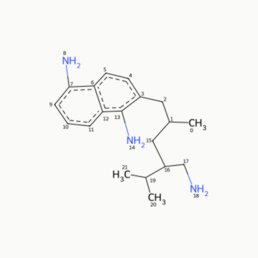 CC(Cc1ccc2c(N)cccc2c1N)CC(CN)C(C)C